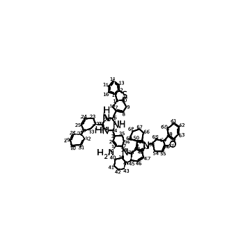 NC1=CC(C2NC(C3=CCC4Sc5ccccc5C4C3)NC(C3CC=CC(C4C=CCCC4)C3)N2)CCC1N1C2CCCCC2C2C=Cc3c(c4c(n3C3CC=C5OC6=C(CCC=C6)C5C3)CCCC4)C21